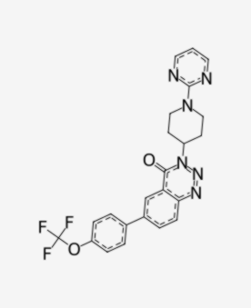 O=c1c2cc(-c3ccc(OC(F)(F)F)cc3)ccc2nnn1C1CCN(c2ncccn2)CC1